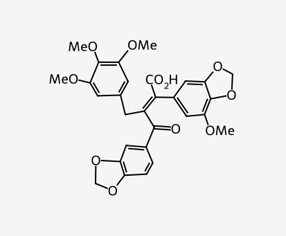 COc1cc(CC(C(=O)c2ccc3c(c2)OCO3)=C(C(=O)O)c2cc(OC)c3c(c2)OCO3)cc(OC)c1OC